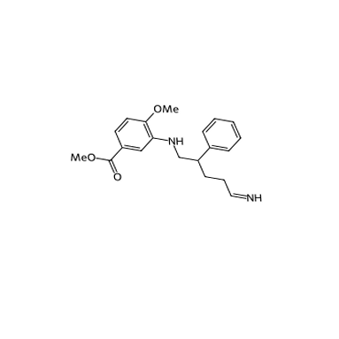 COC(=O)c1ccc(OC)c(NCC(CCC=N)c2ccccc2)c1